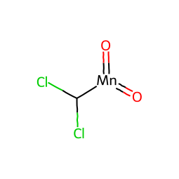 [O]=[Mn](=[O])[CH](Cl)Cl